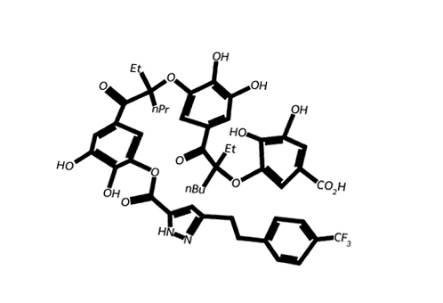 CCCCC(CC)(Oc1cc(C(=O)O)cc(O)c1O)C(=O)c1cc(O)c(O)c(OC(CC)(CCC)C(=O)c2cc(O)c(O)c(OC(=O)c3cc(CCc4ccc(C(F)(F)F)cc4)n[nH]3)c2)c1